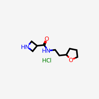 Cl.O=C(NCCC1CCCO1)C1CNC1